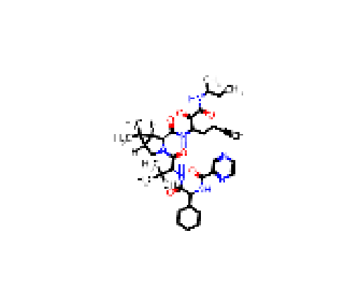 C#CCCC(NC(=O)[C@@H]1[C@@H]2[C@H](CN1C(=O)[C@@H](NC(=O)[C@@H](NC(=O)c1cnccn1)C1CCCCC1)C(C)(C)C)C2(C)C)C(=O)C(=O)NC(C)CC